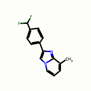 Cc1cccn2cc(-c3ccc(C(F)F)cc3)nc12